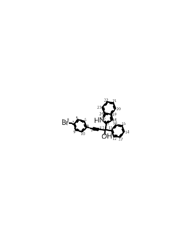 OC(C#Cc1ccc(Br)cc1)(c1ccccc1)c1cc2ccccc2[nH]1